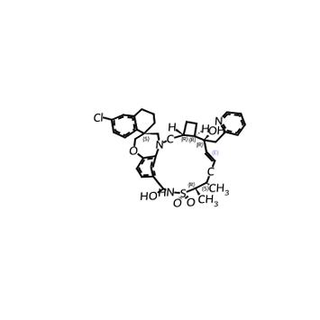 C[C@@H]1[C@@H](C)C/C=C/[C@@](O)(Cc2ccccn2)[C@@H]2CC[C@H]2CN2C[C@@]3(CCCc4cc(Cl)ccc43)COc3ccc(cc32)C(O)NS1(=O)=O